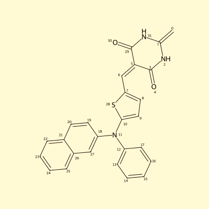 C=c1[nH]c(=O)c(=Cc2ccc(N(c3ccccc3)c3ccc4ccccc4c3)s2)c(=O)[nH]1